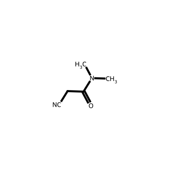 CN(C)C(=O)CC#N